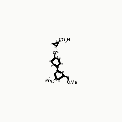 COCc1cc(OC(C)C)cc(-c2ccc(OC[C@@H]3C[C@H]3C(=O)O)cc2)c1